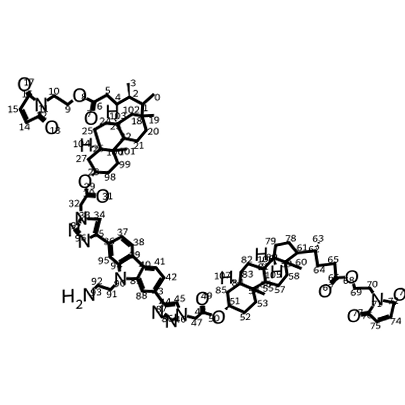 CC([C@H](C)CCC(=O)OCCN1C(=O)C=CC1=O)C1(C)CCC2[C@@H](CC[C@@H]3C[C@H](OC(=O)Cn4cc(-c5ccc6c7ccc(-c8cn(CC(=O)O[C@@H]9CCC%10(C)C%11CCC%12(C)C([C@H](C)CCC(=O)OCCN%13C(=O)C=CC%13=O)CC[C@H]%12[C@@H]%11CC[C@@H]%10C9)nn8)cc7n(CCN)c6c5)nn4)CCC23C)C1